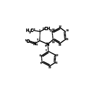 CC(C)C(N=O)N(c1ccccc1)c1ccccc1